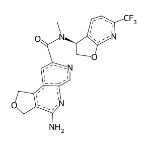 CN(C(=O)c1cc2c3c(c(N)nc2cn1)COC3)[C@@H]1COc2nc(C(F)(F)F)ccc21